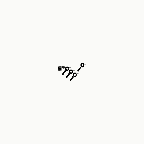 C[O-].C[O-].C[O-].C[O-].[Si+4]